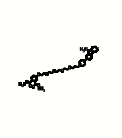 COC(=O)c1ccc(OCCOCCOCCOCCOCCCN2CCN(c3ccc4c5cnccc5n(C)c4c3)CC2)cc1C(=O)OC